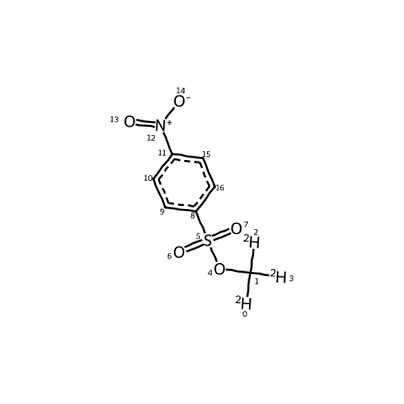 [2H]C([2H])([2H])OS(=O)(=O)c1ccc([N+](=O)[O-])cc1